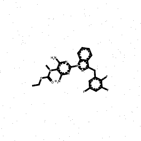 CCOC(=O)N(C)c1c(N)nc(-n2nc(Cc3cc(F)cc(F)c3F)c3ccccc32)nc1N